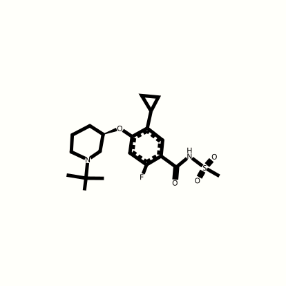 CC(C)(C)N1CCC[C@@H](Oc2cc(F)c(C(=O)NS(C)(=O)=O)cc2C2CC2)C1